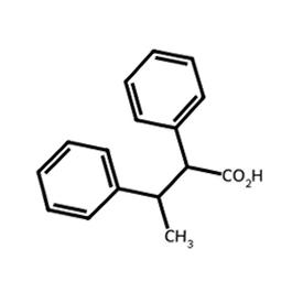 CC(c1ccccc1)C(C(=O)O)c1ccccc1